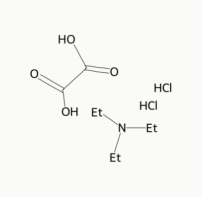 CCN(CC)CC.Cl.Cl.O=C(O)C(=O)O